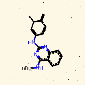 C=C1C=CC(Nc2nc(NCCCC)c3ccccc3n2)=CC1C